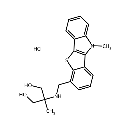 Cl.Cn1c2ccccc2c2sc3c(CNC(C)(CO)CO)cccc3c21